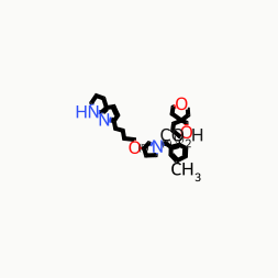 Cc1ccc([C@@H]2CCC3(CCOCC3)CO2)c([C@H](C(=O)O)N2CC[C@@H](OCCCCc3ccc4c(n3)NCCC4)C2)c1